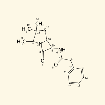 CC1N2C(=O)[C@@H](NC(=O)Cc3ccccc3)C2SC1(C)C